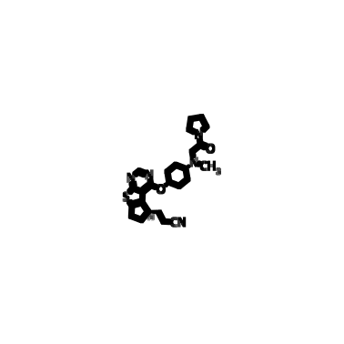 CN(CC(=O)N1CCCC1)[C@H]1CC[C@H](Oc2ncnc3sc4c(c23)[C@@H](CCC#N)CC4)CC1